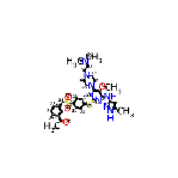 COc1c(Nc2cc(C)[nH]n2)nc(Sc2ccc(S(=O)(=O)Cc3cccc(C(C)=O)c3)cc2)nc1N1CCN(CCN(C)C)CC1